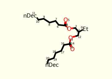 [CH2]C[C](COC(=O)CCCCCCCCCCCCCCC)COC(=O)CCCCCCCCCCCCCCC